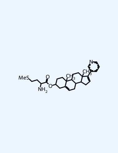 CSCCC(N)C(=O)OC1CCC2(C)C(=CCC3C2CCC2(C)C(c4cccnc4)=CCC32)C1